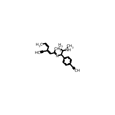 C#CC(/C=C\C)=C/C(C)=N/C(c1ccc(C#C)cc1)C(C)NC